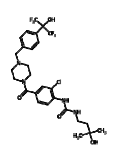 CC(C)(O)CCNC(=O)Nc1ccc(C(=O)N2CCN(Cc3ccc(C(O)(C(F)(F)F)C(F)(F)F)cc3)CC2)cc1Cl